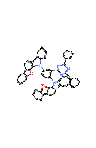 c1ccc(-c2nc(-c3ccccc3)nc(-c3cc(-n4c5ccccc5c5ccc6c7ccccc7oc6c54)ccc3-n3c4ccccc4c4ccc5c6ccccc6oc5c43)n2)cc1